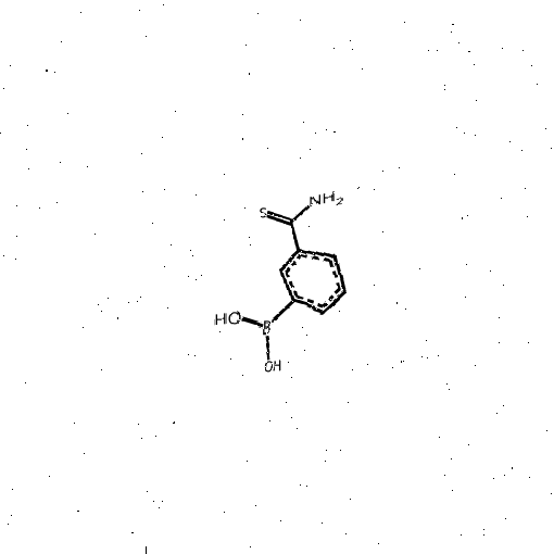 NC(=S)c1cccc(B(O)O)c1